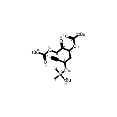 C#CC(CC(OC(=O)C(C)(C)C)C(=O)COC(=O)C(C)(C)C)O[Si](C)(C)C(C)(C)C